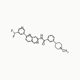 CN1CCC(c2cccc(C(=O)Nc3cc4nc(-c5cncc(C(F)F)c5)ccc4cn3)c2)CC1